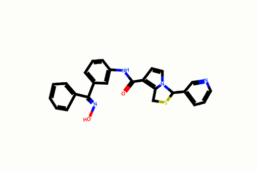 O=C(Nc1cccc(C(=NO)c2ccccc2)c1)c1ccn2c1CSC2c1cccnc1